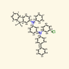 CC1(C)c2ccccc2-c2ccc(N(c3ccccc3)c3cccc(N(c4ccc(-c5ccccc5)cc4)c4cccc(Cl)c4)c3)cc21